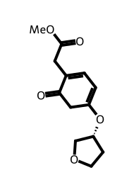 COC(=O)CC1=CC=C(O[C@@H]2CCOC2)CC1=O